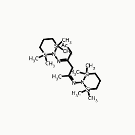 CC(=O)CC(CC(C)=NN1[Si](C)(C)CCC[Si]1(C)C)=NN1[Si](C)(C)CCC[Si]1(C)C